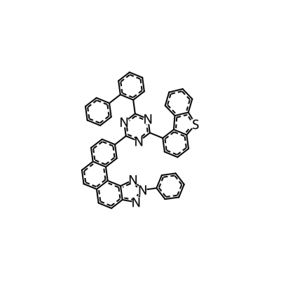 c1ccc(-c2ccccc2-c2nc(-c3ccc4ccc5ccc6nn(-c7ccccc7)nc6c5c4c3)nc(-c3cccc4sc5ccccc5c34)n2)cc1